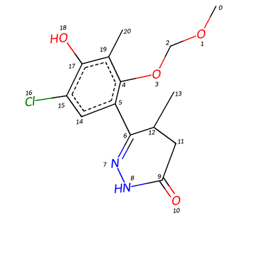 COCOc1c(C2=NNC(=O)CC2C)cc(Cl)c(O)c1C